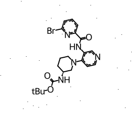 CC(C)(C)OC(=O)N[C@H]1CCCN(c2ccncc2NC(=O)c2cccc(Br)n2)C1